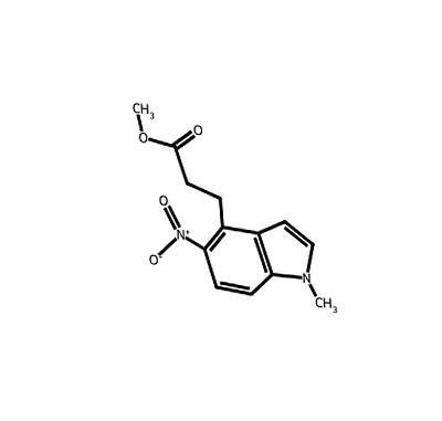 COC(=O)CCc1c([N+](=O)[O-])ccc2c1ccn2C